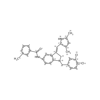 Cc1cccc(C(=O)Nc2ccc3c(c2)/C(=C/c2[nH]c(C)cc2C)CN3Cc2ccc(Cl)c(Cl)c2)c1